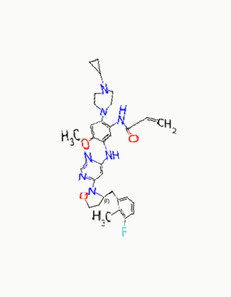 C=CC(=O)Nc1cc(Nc2cc(N3OCC[C@@H]3Cc3cccc(F)c3C)ncn2)c(OC)cc1N1CCN(C2CC2)CC1